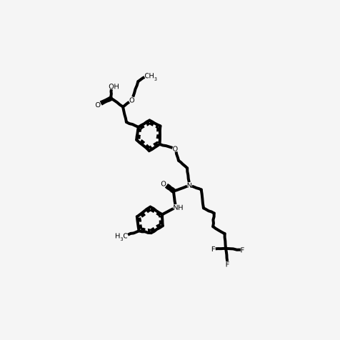 CCOC(Cc1ccc(OCCN(CCCCCC(F)(F)F)C(=O)Nc2ccc(C)cc2)cc1)C(=O)O